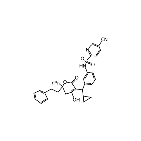 CCCC1(CCc2ccccc2)CC(O)=C(C(c2cccc(NS(=O)(=O)c3ccc(C#N)cn3)c2)C2CC2)C(=O)O1